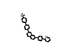 C[Si](C)(C)c1ccc(-c2ccc(-c3ccc4ccc(-c5ccc(-c6ccccn6)cc5)cc4c3)cc2)cc1